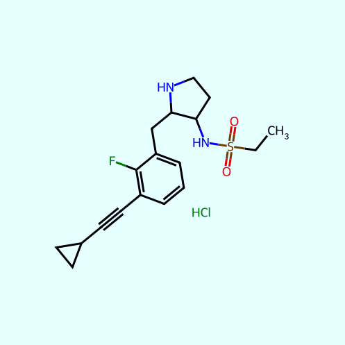 CCS(=O)(=O)NC1CCNC1Cc1cccc(C#CC2CC2)c1F.Cl